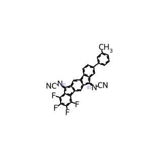 Cc1cccc(-c2ccc3c(c2)/c(=N\C#N)c2cc4c(cc23)/c(=N/C#N)c2c(F)c(F)c(F)c(F)c24)c1